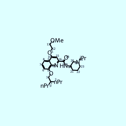 CCCC(CCC)COc1cccc2c(OCCOC)cc(C(=O)N[C@@H]3CCCN(C(C)C)C3)nc12